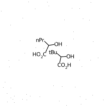 CC(C)(C)C(O)C(=O)O.CCCC(O)C(=O)O